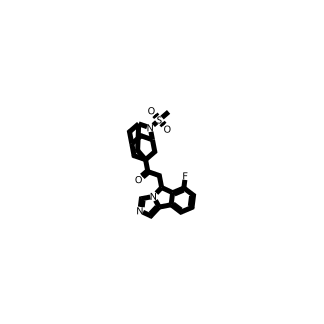 CS(=O)(=O)N1C2CC3CC1CC(C(=O)CC1c4c(F)cccc4-c4cncn41)(C3)C2